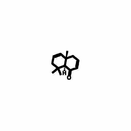 CC1(C)CC=C[C@]2(C)CC=CC(=O)[C@@H]12